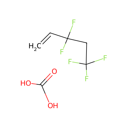 C=CC(F)(F)CC(F)(F)F.O=C(O)O